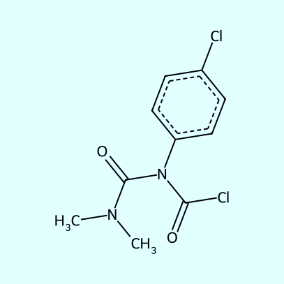 CN(C)C(=O)N(C(=O)Cl)c1ccc(Cl)cc1